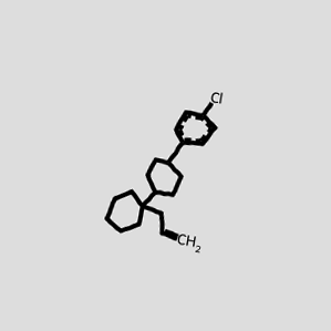 C=CCC1(C2CCC(c3ccc(Cl)cc3)CC2)CCCCC1